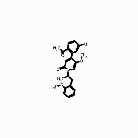 COc1ccccc1CC(C)n1cc(OC)c(-c2cc(Cl)ccc2C(C)=O)cc1=O